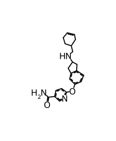 NC(=O)c1ccc(Oc2ccc3c(c2)CC(NCC2CC=CCC2)C3)nc1